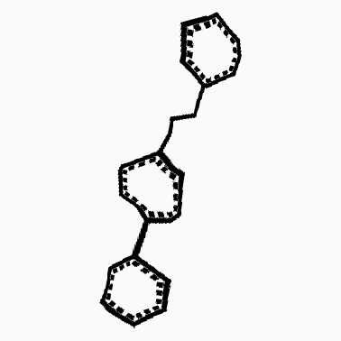 [c]1ccc(-c2ccc(CCc3ccccc3)cc2)cc1